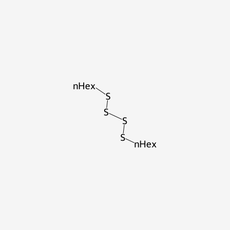 CCCCCCSSSSCCCCCC